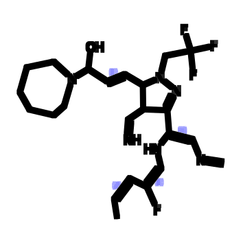 C=N/C=C(\N/C=C(F)\C=C/C)C1=NN(CC(F)(F)F)C(/C=C/C(O)N2CCCCCC2)C1C=N